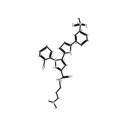 CN(C)CCCNC(=O)c1cc(-c2ccc(-c3cccc(S(C)(=O)=O)c3)s2)n(-c2ccccc2Cl)n1